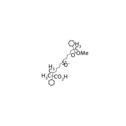 COC(=O)C(C)(CCCCC[S+]([O-])CCCCC(C)C(C)(C(=O)O)c1ccccc1)c1ccccc1